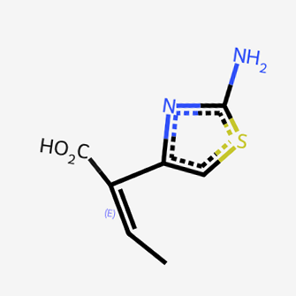 C/C=C(/C(=O)O)c1csc(N)n1